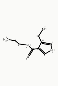 CCCNC(=O)c1c[nH]nc1CO